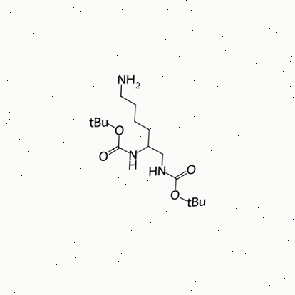 CC(C)(C)OC(=O)NCC(CCCCN)NC(=O)OC(C)(C)C